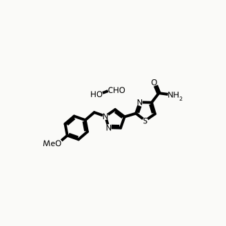 COc1ccc(Cn2cc(-c3nc(C(N)=O)cs3)cn2)cc1.O=CO